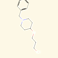 OCCCOC1CCN(Cc2ccccc2)CC1